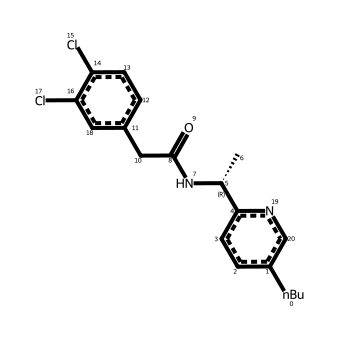 CCCCc1ccc([C@@H](C)NC(=O)Cc2ccc(Cl)c(Cl)c2)nc1